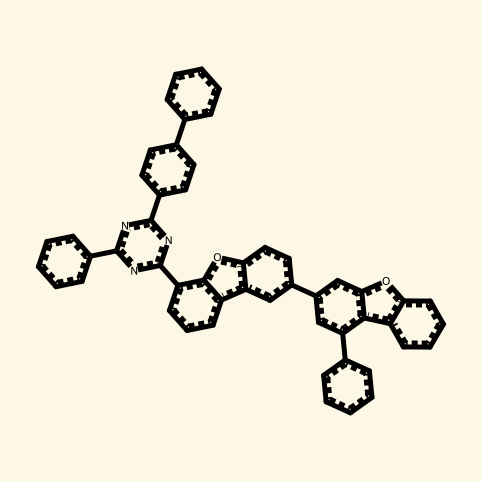 c1ccc(-c2ccc(-c3nc(-c4ccccc4)nc(-c4cccc5c4oc4ccc(-c6cc(-c7ccccc7)c7c(c6)oc6ccccc67)cc45)n3)cc2)cc1